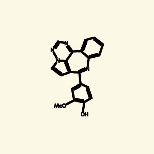 COc1cc(C2=Nc3ccccc3-c3ncnn4ccc2c34)ccc1O